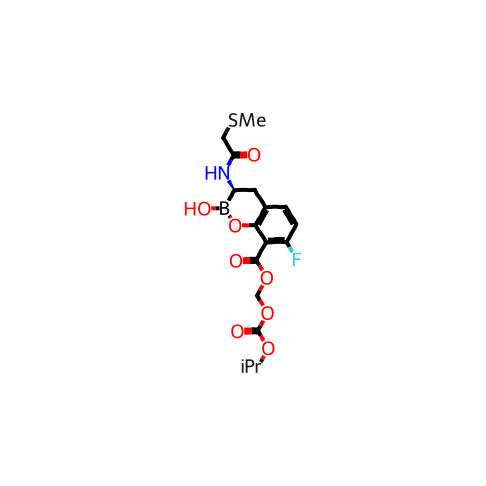 CSCC(=O)N[C@H]1Cc2ccc(F)c(C(=O)OCOC(=O)OC(C)C)c2OB1O